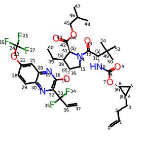 C=CCC[C@@H]1C[C@H]1OC(=O)N[C@H](C(=O)N1C[C@H](Oc2nc3cc(OC(F)(F)F)ccc3nc2C(F)(F)C=C)[C@@H](CC)[C@H]1C(=O)OCC(C)C)C(C)(C)C